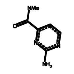 [CH2+][N-]C(=O)c1ccnc(N)n1